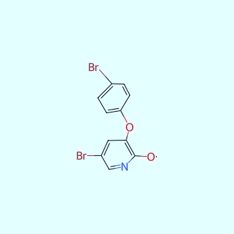 [O]c1ncc(Br)cc1Oc1ccc(Br)cc1